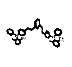 CCc1cccc(C)c1N(c1ccccc1)c1ccc(CCc2cccc(CCc3ccc(N(c4ccccc4)c4c(C)cccc4CC)cc3)c2)cc1